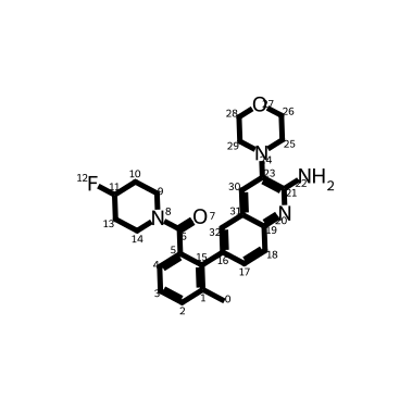 Cc1cccc(C(=O)N2CCC(F)CC2)c1-c1ccc2nc(N)c(N3CCOCC3)cc2c1